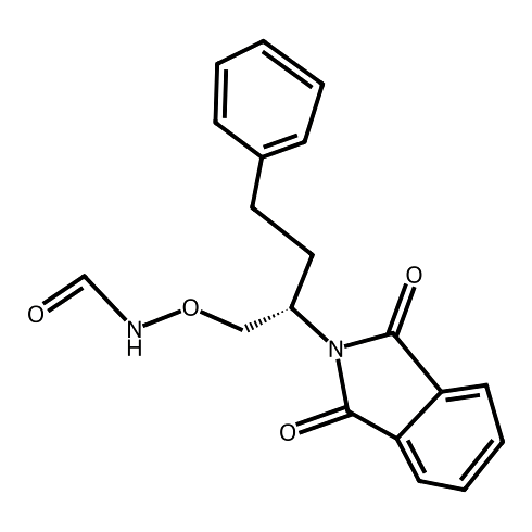 O=CNOC[C@H](CCc1ccccc1)N1C(=O)c2ccccc2C1=O